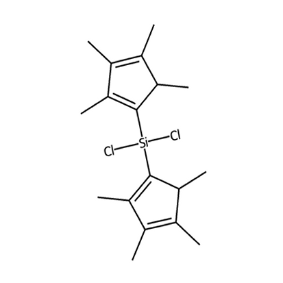 CC1=C(C)C(C)C([Si](Cl)(Cl)C2=C(C)C(C)=C(C)C2C)=C1C